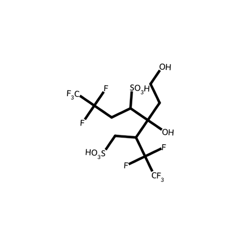 O=S(=O)(O)CC(C(O)(CCO)C(CC(F)(F)C(F)(F)F)S(=O)(=O)O)C(F)(F)C(F)(F)F